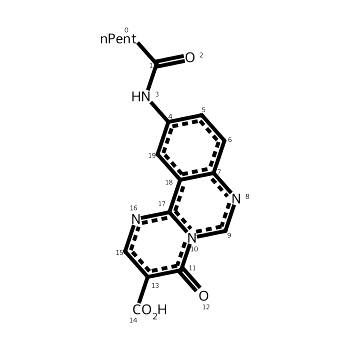 CCCCCC(=O)Nc1ccc2ncn3c(=O)c(C(=O)O)cnc3c2c1